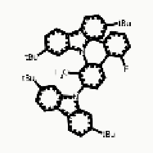 CC(C)(C)c1ccc2c3ccc(C(C)(C)C)cc3n(-c3ccc(-c4c(F)cccc4F)c(-n4c5cc(C(C)(C)C)ccc5c5ccc(C(C)(C)C)cc54)c3C(F)(F)F)c2c1